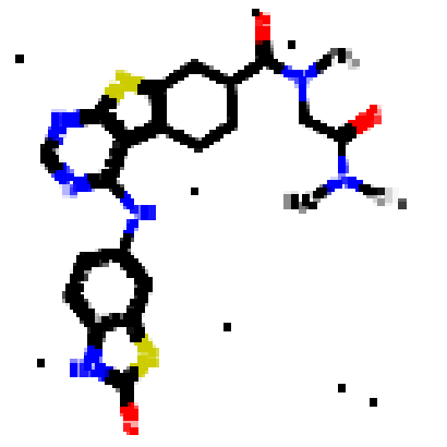 CN(C)C(=O)CN(C)C(=O)C1CCc2c(sc3ncnc(Nc4ccc5[nH]c(=O)sc5c4)c23)C1